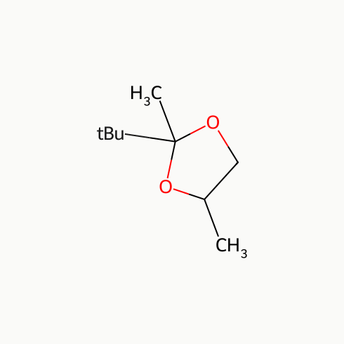 CC1COC(C)(C(C)(C)C)O1